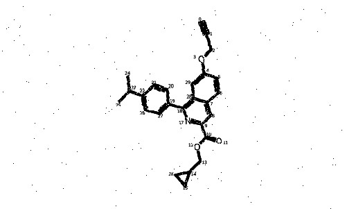 C#CCOc1ccc2cc(C(=O)OCC3CC3)nc(-c3ccc(C(C)C)cc3)c2c1